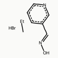 Br.CCC.ON=Cc1cccnc1